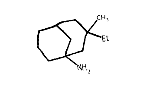 CCC1(C)CC2CCCC(N)(C2)C1